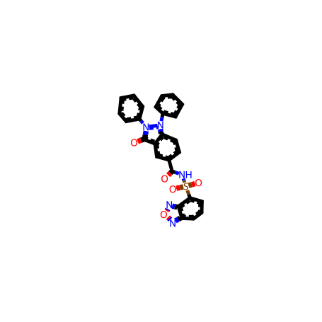 O=C(NS(=O)(=O)c1cccc2nonc12)c1ccc2c(c1)c(=O)n(-c1ccccc1)n2-c1ccccc1